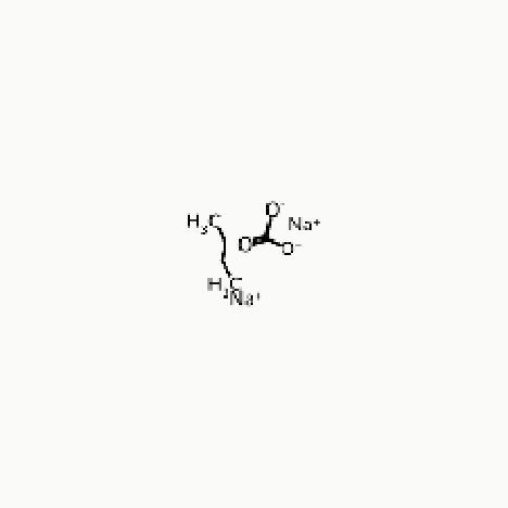 CCCC.O=C([O-])[O-].[Na+].[Na+]